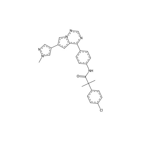 Cn1cc(-c2cc3c(-c4ccc(NC(=O)C(C)(C)c5ccc(Cl)cc5)cc4)ncnn3c2)cn1